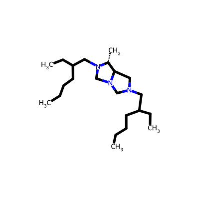 CCCCC(CC)CN1CC2[C@@H](C)N(CC(CC)CCCC)CN2C1